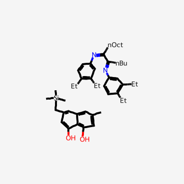 CCCCCCCCC(=Nc1ccc(CC)c(CC)c1)C(CCCC)=Nc1ccc(CC)c(CC)c1.Cc1cc(O)c2c(O)cc(C[Si](C)(C)C)cc2c1